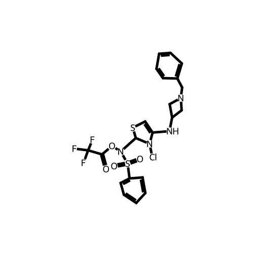 O=C(ON(C1SC=C(NC2CN(Cc3ccccc3)C2)N1Cl)S(=O)(=O)c1ccccc1)C(F)(F)F